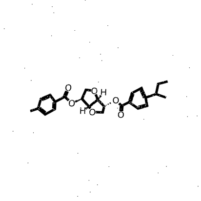 CCC(C)c1ccc(C(=O)O[C@@H]2CO[C@H]3[C@@H]2OC[C@@H]3OC(=O)c2ccc(C)cc2)cc1